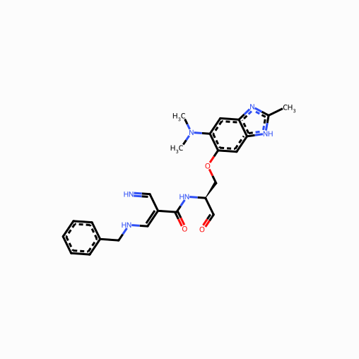 Cc1nc2cc(N(C)C)c(OC[C@@H](C=O)NC(=O)/C(C=N)=C/NCc3ccccc3)cc2[nH]1